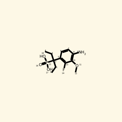 CCC(CC)(c1ccc(N)c(OC)c1F)P(=O)(O)O